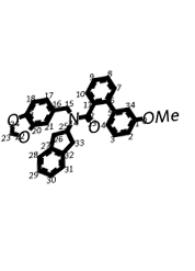 COc1cccc(-c2ccccc2C(=O)N(Cc2ccc3c(c2)OCO3)C2Cc3ccccc3C2)c1